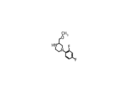 COCC1CN(c2ccc(F)cc2F)CCN1